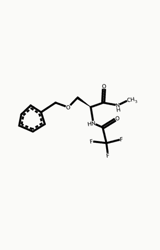 CNC(=O)[C@H](COCc1ccccc1)NC(=O)C(F)(F)F